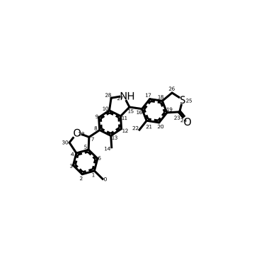 Cc1ccc2c(c1)C(c1cc3c(cc1C)C(c1cc4c(cc1C)C(=O)SC4)NC3)OC2